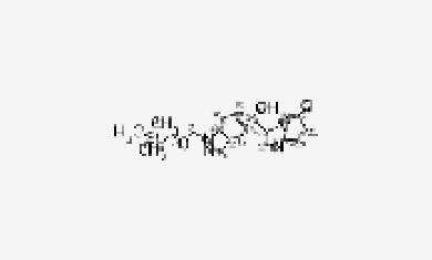 C[Si](C)(C)CCOCn1ncc2cc(C(O)c3cnc4ccc(Cl)nn34)c(F)cc21